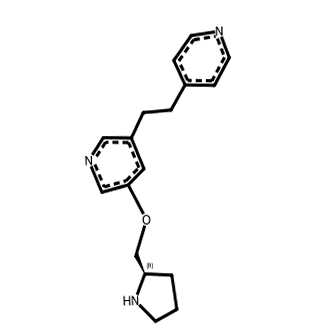 c1cc(CCc2cncc(OC[C@H]3CCCN3)c2)ccn1